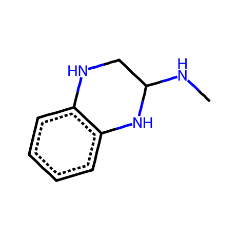 CNC1CNc2ccccc2N1